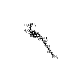 CC(C)CCC[C@@H](C)[C@H]1CC[C@H]2[C@@H]3CC=C4C[C@@H](OC(=O)C(N)CNCCCNCCCCNCCCN)CC[C@]4(C)[C@H]3CC[C@]12C